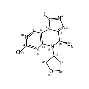 CC[C@@H]1c2nnc(C)n2-c2cnc(Cl)nc2N1C1CCOC1